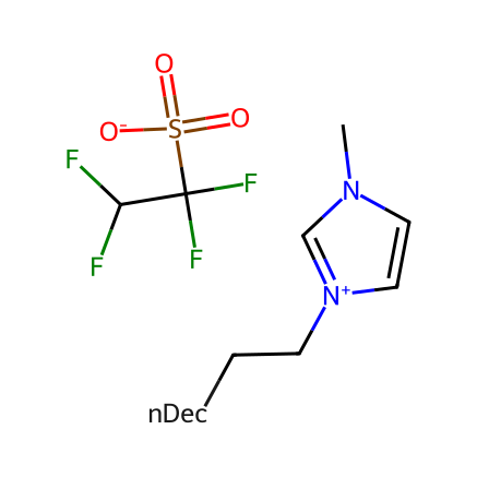 CCCCCCCCCCCC[n+]1ccn(C)c1.O=S(=O)([O-])C(F)(F)C(F)F